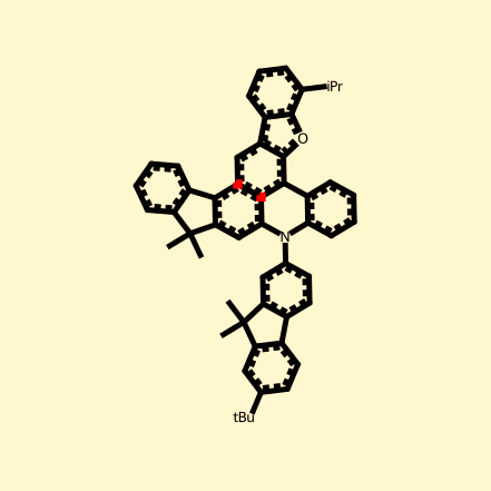 CC(C)c1cccc2c1oc1c(-c3ccccc3N(c3ccc4c(c3)C(C)(C)c3ccccc3-4)c3ccc4c(c3)C(C)(C)c3cc(C(C)(C)C)ccc3-4)cccc12